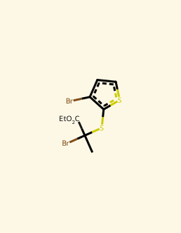 CCOC(=O)C(C)(Br)Sc1sccc1Br